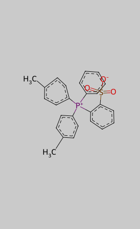 Cc1ccc([P+](c2ccccc2)(c2ccc(C)cc2)c2ccccc2S(=O)(=O)[O-])cc1